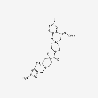 CO/N=C1\CC2(CCN(C(=O)C3(F)CCN(Cc4sc(N)nc4C)CC3)CC2)Oc2ccc(F)cc21